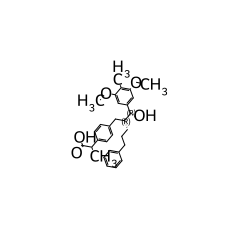 COc1cc([C@H](O)[C@H](CCCc2ccccc2)Cc2ccc(C(C)C(=O)O)cc2)cc(OC)c1C